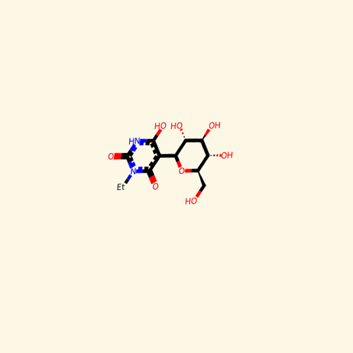 CCn1c(=O)[nH]c(O)c(C2O[C@H](CO)[C@@H](O)[C@H](O)[C@H]2O)c1=O